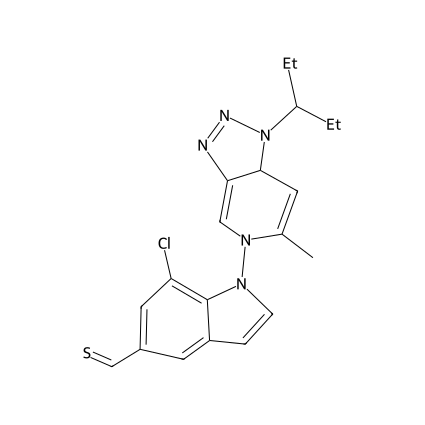 CCC(CC)N1N=NC2=CN(n3ccc4cc(C=S)cc(Cl)c43)C(C)=CC21